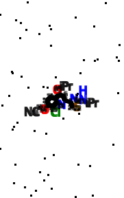 CC(C)Nc1nc(-c2cc(OC(C)C)c3ccc(OCC#N)c(Cl)c3n2)cs1